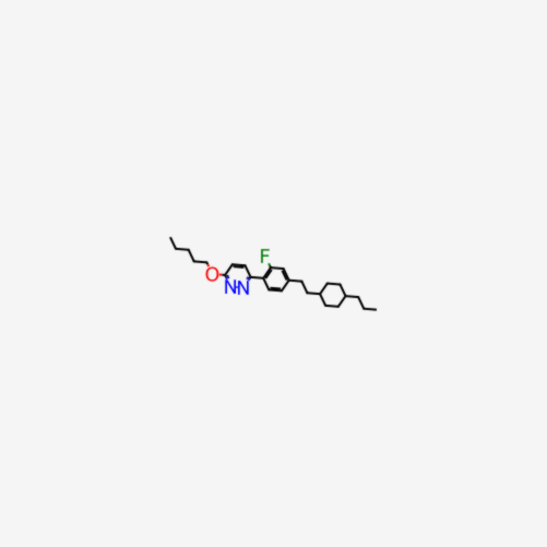 CCCCCOc1ccc(-c2ccc(CCC3CCC(CCC)CC3)cc2F)nn1